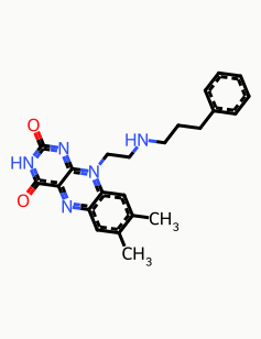 Cc1cc2nc3c(=O)[nH]c(=O)nc-3n(CCNCCCc3ccccc3)c2cc1C